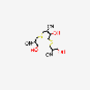 N#CC(CSCC(CO)N=O)C(O)CSCC(CO)N=O